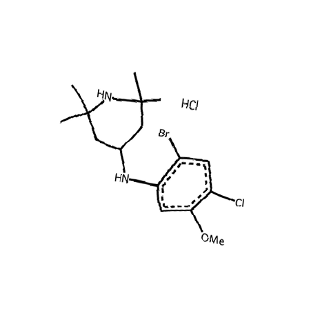 COc1cc(NC2CC(C)(C)NC(C)(C)C2)c(Br)cc1Cl.Cl